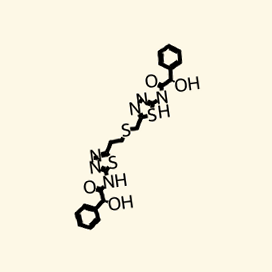 O=C(Nc1nnc(CCSCc2nnc(NC(=O)[C@@H](O)c3ccccc3)s2)s1)[C@@H](O)c1ccccc1